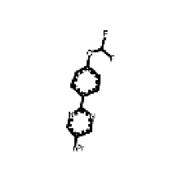 CCCc1cnc(-c2ccc(OC(F)F)cc2)nc1